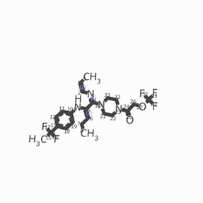 C\C=C/N=C(\C(=C\CC)Nc1ccc(C(C)(F)F)cc1)N1CCN(C(=O)COC(F)(F)F)CC1